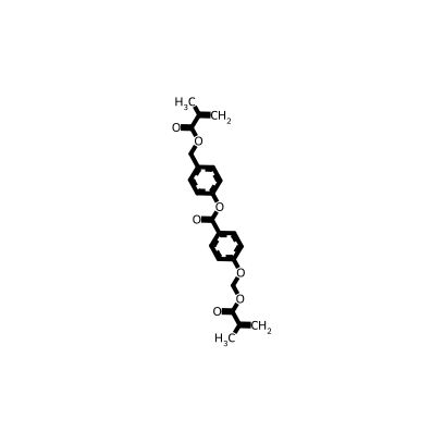 C=C(C)C(=O)OCOc1ccc(C(=O)Oc2ccc(COC(=O)C(=C)C)cc2)cc1